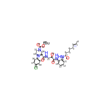 C/C=C/CCCCC(=O)Nc1ccccc1NC(=O)C(=O)CNC(=O)[C@H]1CN(C(=O)OC(C)(C)C)CCN1c1ccc(Cl)cc1